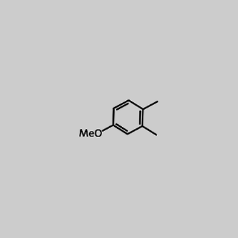 [CH2-][OH+]c1ccc(C)c(C)c1